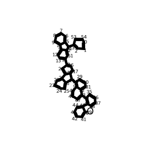 c1ccc(C2c3ccccc3-c3ccc(-c4ccc5c(c4)-c4ccccc4C5c4cccc5c(-c6cccc7oc8ccccc8c67)cccc45)cc32)cc1